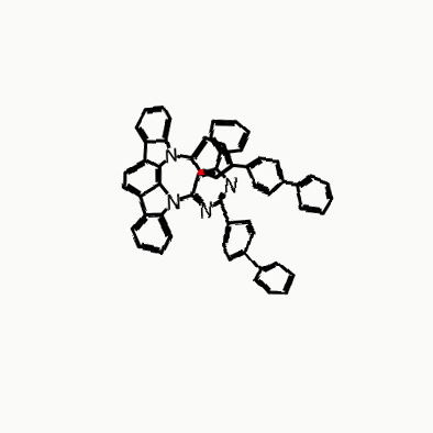 c1ccc(-c2ccc(-c3ccc(-n4c5ccccc5c5ccc6c7ccccc7n(-c7cc(-c8ccccc8)nc(-c8ccc(-c9ccccc9)cc8)n7)c6c54)cc3)cc2)cc1